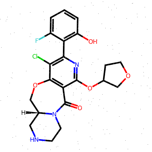 O=C1c2c(OC3CCOC3)nc(-c3c(O)cccc3F)c(Cl)c2OC[C@H]2CNCCN12